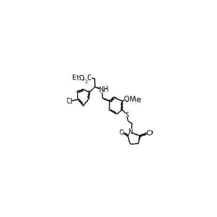 CCOC(=O)CC(NCc1ccc(SCCN2C(=O)CCC2=O)c(OC)c1)c1ccc(Cl)cc1